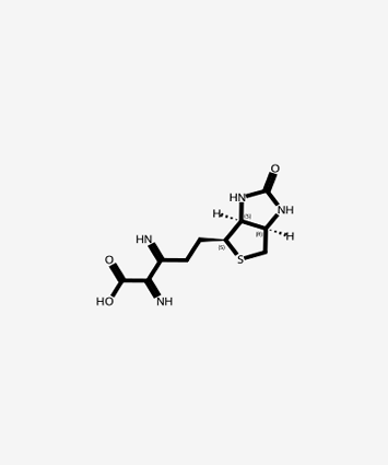 N=C(CC[C@@H]1SC[C@@H]2NC(=O)N[C@@H]21)C(=N)C(=O)O